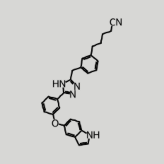 N#CCCCCc1cccc(Cc2nnc(-c3cccc(Oc4ccc5[nH]ccc5c4)c3)[nH]2)c1